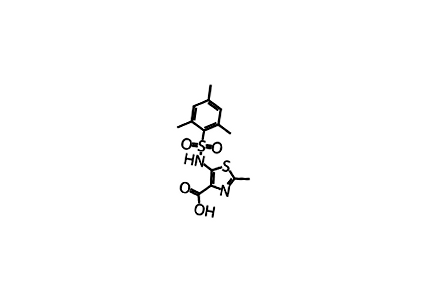 Cc1cc(C)c(S(=O)(=O)Nc2sc(C)nc2C(=O)O)c(C)c1